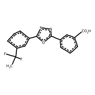 CC(F)(F)c1cccc(-c2nnc(-c3cccc(C(=O)O)c3)o2)c1